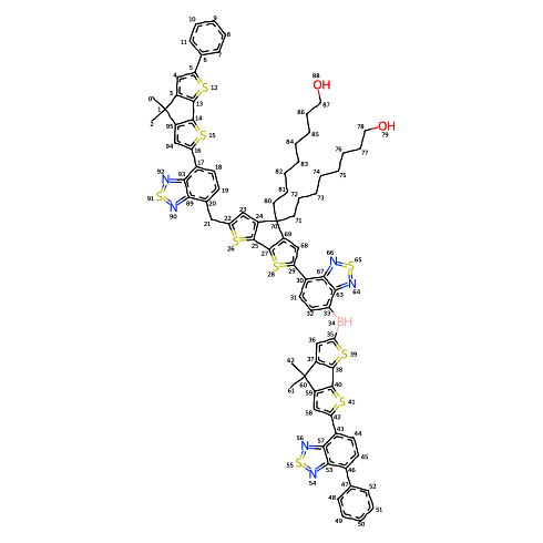 CC1(C)c2cc(-c3ccccc3)sc2-c2sc(-c3ccc(Cc4cc5c(s4)-c4sc(-c6ccc(Bc7cc8c(s7)-c7sc(-c9ccc(-c%10ccccc%10)c%10nsnc9%10)cc7C8(C)C)c7nsnc67)cc4C5(CCCCCCCCO)CCCCCCCCO)c4nsnc34)cc21